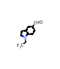 O=Cc1ccc2c(ccn2CC(F)(F)F)c1